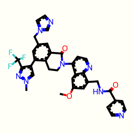 COc1cc(CNC(=O)c2ccncc2)c2nccc(N3CCc4c(cc(Cn5ccnc5)cc4-c4cn(C)nc4C(F)(F)F)C3=O)c2c1